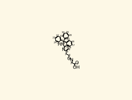 O=C(O)C=NOCCc1csc(NC(c2ccccc2)(c2ccccc2)c2ccccc2)n1